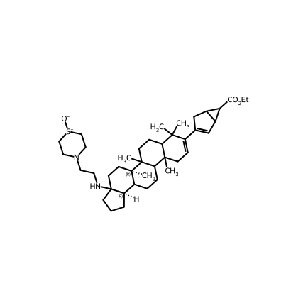 CCOC(=O)C1C2C=C(C3=CCC4(C)C(CCC5(C)C4CCC4[C@H]6CCCC6(NCCN6CC[S+]([O-])CC6)CC[C@]45C)C3(C)C)CC21